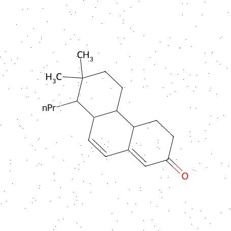 CCCC1C2C=CC3=CC(=O)CCC3C2CCC1(C)C